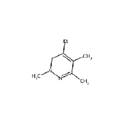 CCC1=C(C)C(C)=NN(C)C1